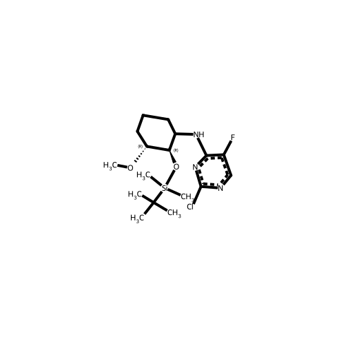 CO[C@@H]1CCCC(Nc2nc(Cl)ncc2F)[C@H]1O[Si](C)(C)C(C)(C)C